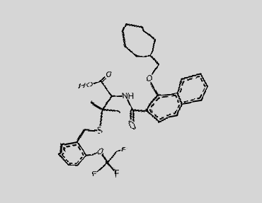 CC(C)(SCc1ccccc1OC(F)(F)F)C(NC(=O)c1ccc2ccccc2c1OCC1CCCCC1)C(=O)O